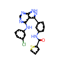 O=C(Nc1cccc(-c2n[nH]c3ncnc(Nc4cccc(Cl)c4)c23)c1)c1cccs1